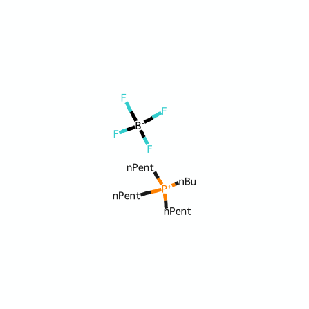 CCCCC[P+](CCCC)(CCCCC)CCCCC.F[B-](F)(F)F